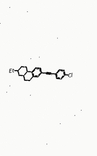 CCC1CCC2c3ccc(C#Cc4ccc(Cl)cc4)cc3CCC2C1